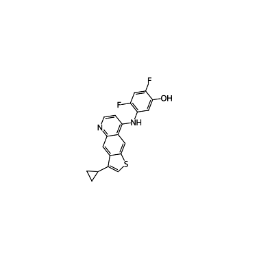 Oc1cc(Nc2ccnc3cc4c(C5CC5)csc4cc23)c(F)cc1F